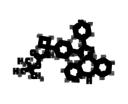 CC(C)(C)OC(=O)NC1(c2ccc(-c3c(-c4ccncc4)nc4n3-c3cccnc3Nc3ccccc3-4)cc2)CCC1